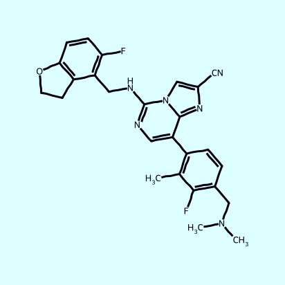 Cc1c(-c2cnc(NCc3c(F)ccc4c3CCO4)n3cc(C#N)nc23)ccc(CN(C)C)c1F